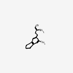 CCC/C=C(\N)CCc1cc2c(cc1C)CCC2